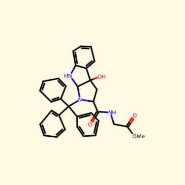 COC(=O)CNC(=O)C1CC2(O)c3ccccc3NC2N1C(c1ccccc1)(c1ccccc1)c1ccccc1